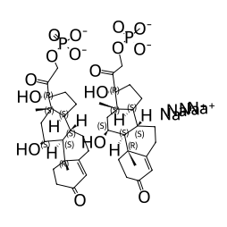 C[C@]12CCC(=O)C=C1CC[C@@H]1[C@@H]2[C@@H](O)C[C@@]2(C)[C@H]1CC[C@]2(O)C(=O)COP(=O)([O-])[O-].C[C@]12CCC(=O)C=C1CC[C@@H]1[C@@H]2[C@@H](O)C[C@@]2(C)[C@H]1CC[C@]2(O)C(=O)COP(=O)([O-])[O-].[Na+].[Na+].[Na+].[Na+]